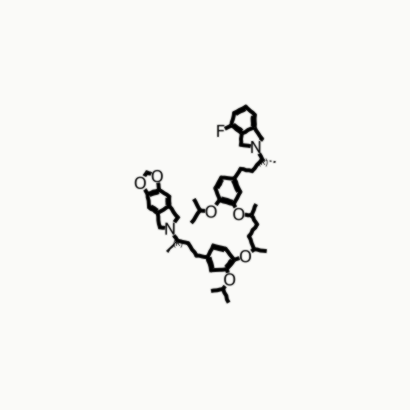 CC(C)Oc1cc(CC[C@@H](C)N2Cc3cc4c(cc3C2)OCO4)ccc1OC(C)CCC(C)Oc1cc(CC[C@@H](C)N2Cc3cccc(F)c3C2)ccc1OC(C)C